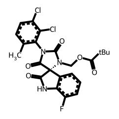 Cc1ccc(Cl)c(Cl)c1N1C(=O)N(COC(=O)C(C)(C)C)[C@]2(C(=O)Nc3c(F)cccc32)C1=O